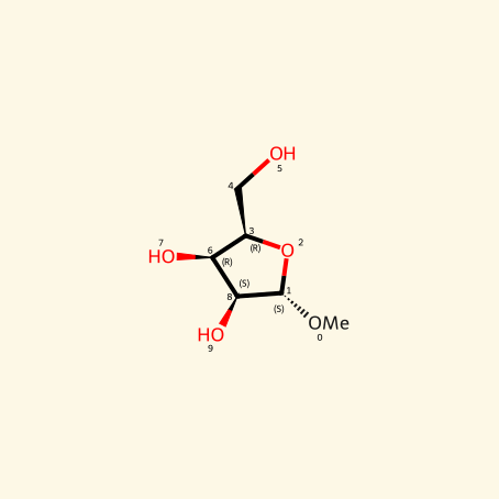 CO[C@H]1O[C@H](CO)[C@H](O)[C@@H]1O